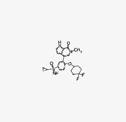 Cn1cc(-c2cc(S(=N)(=O)C3CC3)ccc2OC2CCC(F)(F)CC2)c2cc[nH]c2c1=O